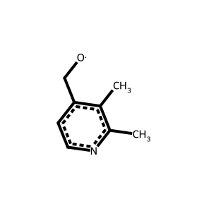 Cc1nccc(C[O])c1C